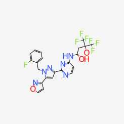 O=C(CC(O)(C(F)(F)F)C(F)(F)F)Nc1ccnc(-c2cc(-c3ccon3)n(Cc3ccccc3F)n2)n1